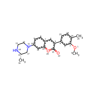 COc1cc(-c2cc3ccc(N4CCN[C@@H](C)C4)cc3oc2=O)ccc1C